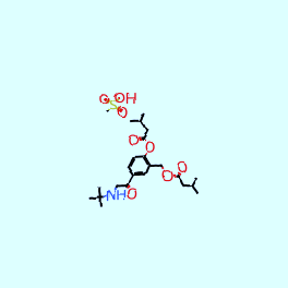 CC(C)CC(=O)OCc1cc(C(=O)CNC(C)(C)C)ccc1OC(=O)CC(C)C.CS(=O)(=O)O